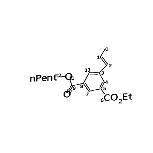 C/C=C/c1cc(C(=O)OCC)cc(C(=O)OCCCCC)c1